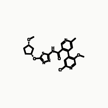 COc1cnc(Cl)cc1-c1cc(C)ncc1C(=O)Nc1nnc(O[C@@H]2CC[C@H](OC)C2)s1